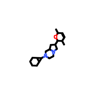 CC1C=CC(C)C(C2CC3CN(C4C5CCCCC54)CCN3C2)O1